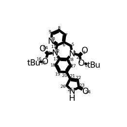 CC(C)(C)OC(=O)N1Cc2cccnc2N(C(=O)OC(C)(C)C)c2ccc(C3=CC(=O)NC3)cc21